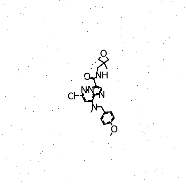 COc1ccc(CN(C)c2cc(Cl)nn3c(C(=O)NCC4(C)COC4)cnc23)cc1